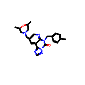 Cc1ccc(Cn2c(=O)n3ncnc3c3cc(CN4CC(C)OC(C)C4)cnc32)cc1